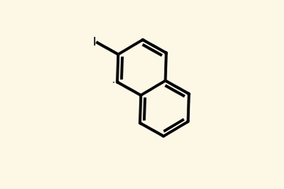 Ic1[c]c2ccccc2cc1